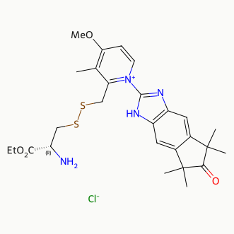 CCOC(=O)[C@@H](N)CSSCc1c(C)c(OC)cc[n+]1-c1nc2cc3c(cc2[nH]1)C(C)(C)C(=O)C3(C)C.[Cl-]